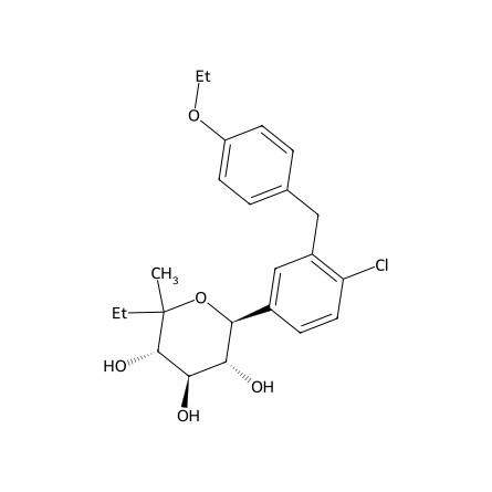 CCOc1ccc(Cc2cc([C@@H]3OC(C)(CC)[C@@H](O)[C@H](O)[C@H]3O)ccc2Cl)cc1